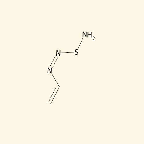 C=C/N=N\SN